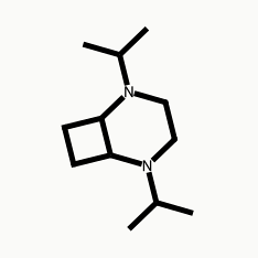 CC(C)N1CCN(C(C)C)C2CCC21